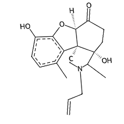 C=CCN1CC[C@]23c4c(C)ccc(O)c4O[C@H]2C(=O)CC[C@@]3(O)C1C